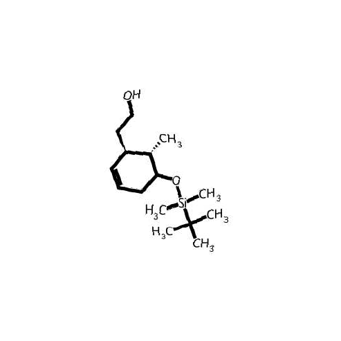 C[C@@H]1C(O[Si](C)(C)C(C)(C)C)CC=C[C@H]1CCO